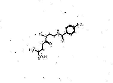 CCN(CCNC(=O)c1ccc([N+](=O)[O-])cc1)C(=O)CCC(C)C(=O)O